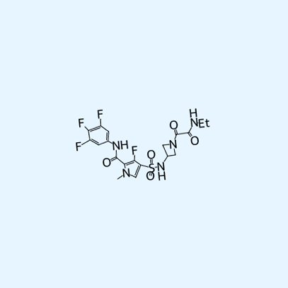 CCNC(=O)C(=O)N1CC(NS(=O)(=O)c2cn(C)c(C(=O)Nc3cc(F)c(F)c(F)c3)c2F)C1